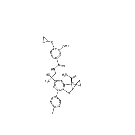 COc1cc(C(=O)NCC(O)(c2cc3c(c(-c4ccc(F)cc4)n2)OC2C4(CC4)[C@@]32C(N)=O)C(F)(F)F)ccc1OC1CC1